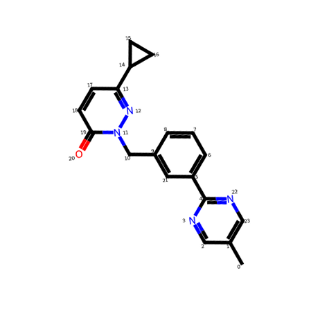 Cc1cnc(-c2cccc(Cn3nc(C4CC4)ccc3=O)c2)nc1